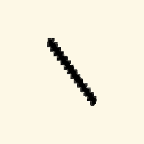 CCCCCCCCC=CC=C/C=[C]/C=CC=CCCCCCCCCCC